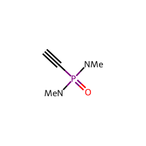 C#CP(=O)(NC)NC